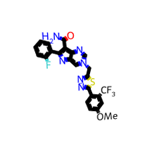 COc1ccc(-c2nnc(Cn3cnc4c(C(N)=O)c(-c5ccccc5F)nc-4c3)s2)c(C(F)(F)F)c1